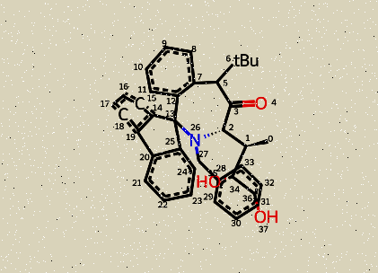 C[C@H]([C@H]1C(=O)C(C(C)(C)C)c2ccccc2C2(c3ccccc3-c3ccccc32)N1Cc1ccccc1)[C@@H](O)CO